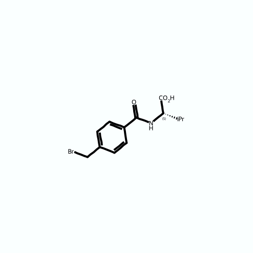 CC(C)[C@H](NC(=O)c1ccc(CBr)cc1)C(=O)O